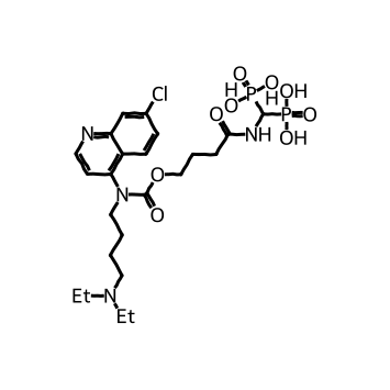 CCN(CC)CCCCN(C(=O)OCCCC(=O)NC(P(=O)(O)O)P(=O)(O)O)c1ccnc2cc(Cl)ccc12